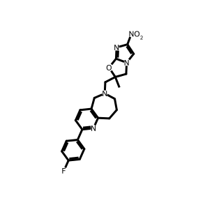 CC1(CN2CCCc3nc(-c4ccc(F)cc4)ccc3C2)Cn2cc([N+](=O)[O-])nc2O1